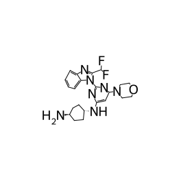 N[C@H]1CC[C@H](Nc2cc(N3CCOCC3)nc(-n3c(C(F)F)nc4ccccc43)n2)CC1